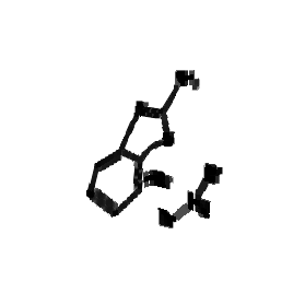 Br.Nc1nc2ccccc2s1.[Br][Hg][Br]